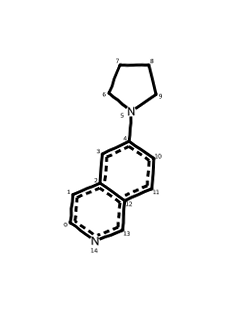 c1cc2cc(N3CCCC3)ccc2cn1